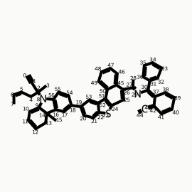 C#CC(C)(C/C=C\C)N1C2=CC=CCC2(C)c2cc(-c3ccc4sc5cc(/C(C)=N/C(c6ccccc6)=c6/ccccc6=C=C)c6ccccc6c5c4c3)ccc21